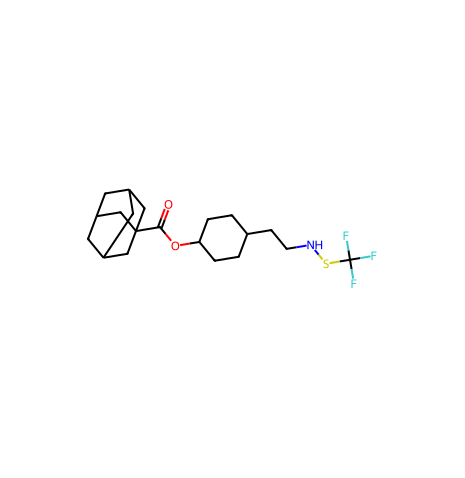 O=C(OC1CCC(CCNSC(F)(F)F)CC1)C12CC3CC(CC(C3)C1)C2